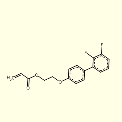 C=CC(=O)OCCOc1ccc(-c2cccc(F)c2F)cc1